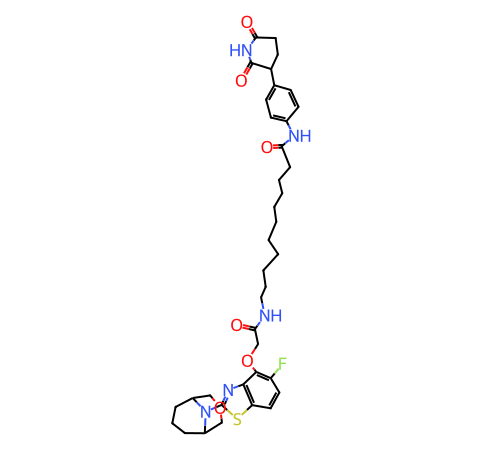 O=C(COc1c(F)ccc2sc(N3C4CCCC3COC4)nc12)NCCCCCCCCCCC(=O)Nc1ccc(C2CCC(=O)NC2=O)cc1